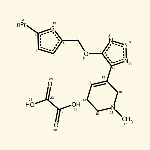 CCCc1ccc(COc2nsnc2C2=CCCN(C)C2)s1.O=C(O)C(=O)O